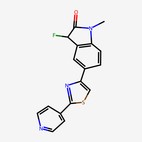 CN1C(=O)C(F)c2cc(-c3csc(-c4ccncc4)n3)ccc21